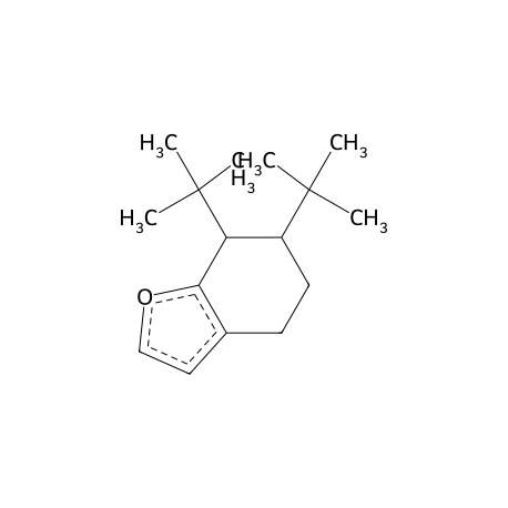 CC(C)(C)C1CCc2ccoc2C1C(C)(C)C